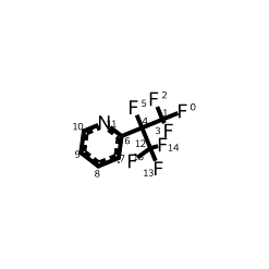 FC(F)(F)C(F)(c1[c]cccn1)C(F)(F)F